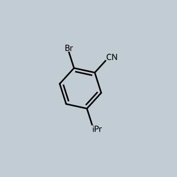 [CH2]C(C)c1ccc(Br)c(C#N)c1